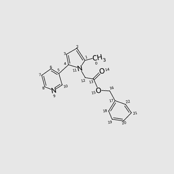 Cc1ccc(-c2cccnc2)n1CC(=O)OCc1ccccc1